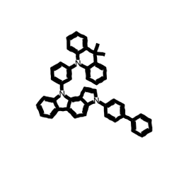 CC1(C)c2ccccc2N(c2cccc(-n3c4ccccc4c4ccc5c(ccn5-c5ccc(-c6ccccc6)cc5)c43)c2)c2ccccc21